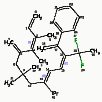 C=C/C(C)=C(/C)C(=C)CC(C)(C)C/C(=C/C=C(\C(=C)c1ccccc1)C(C)(F)F)C(C)C